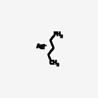 CCCCP.[Au+].[Cl-]